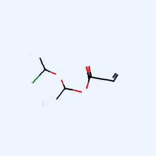 C=CC(=O)OC(C)OC(C)Cl